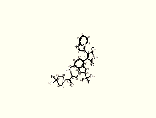 O=C1NC(=O)C(c2cnc3ccccn23)=C1c1ccc2c3c1cc(C(F)(F)F)n3CC(C(=O)N1CCC(F)(F)CC1)NC2